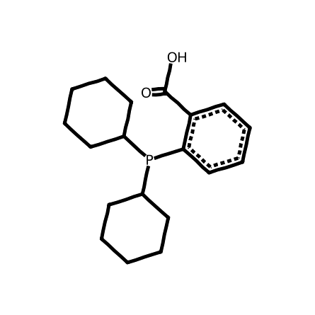 O=C(O)c1ccccc1P(C1CCCCC1)C1CCCCC1